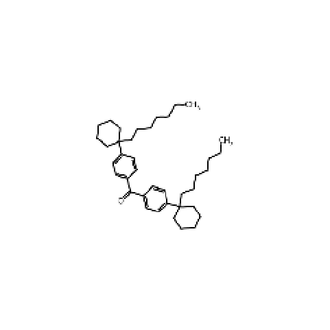 CCCCCCCC1(c2ccc(C(=O)c3ccc(C4(CCCCCCC)CCCCC4)cc3)cc2)CCCCC1